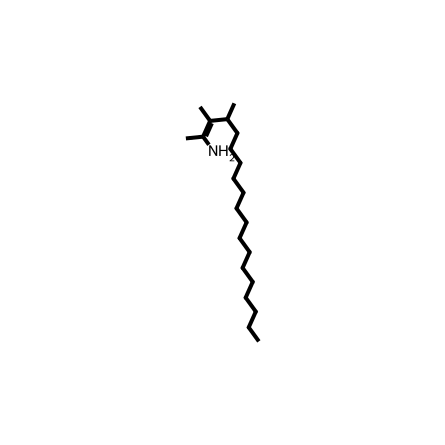 CCCCCCCCCCCCCCCC(C)C(C)=C(C)N